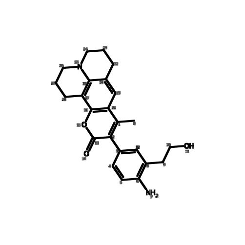 Cc1c(-c2ccc(N)c(CCO)c2)c(=O)oc2c3c4c(cc12)CCCN4CCC3